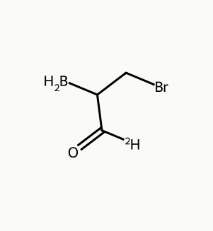 [2H]C(=O)C(B)CBr